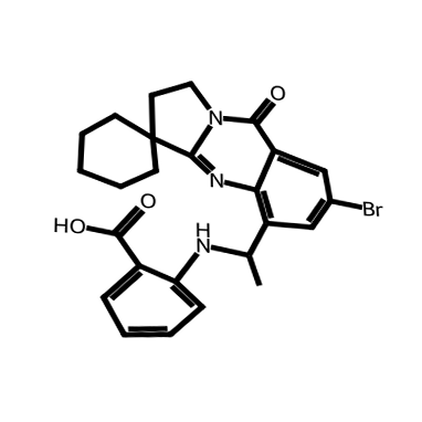 CC(Nc1ccccc1C(=O)O)c1cc(Br)cc2c(=O)n3c(nc12)C1(CCCCC1)CC3